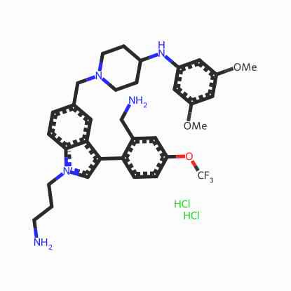 COc1cc(NC2CCN(Cc3ccc4c(c3)c(-c3ccc(OC(F)(F)F)cc3CN)cn4CCCN)CC2)cc(OC)c1.Cl.Cl